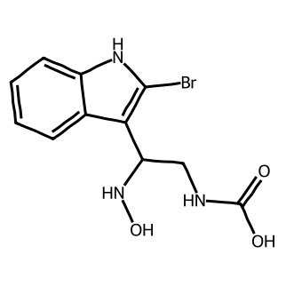 O=C(O)NCC(NO)c1c(Br)[nH]c2ccccc12